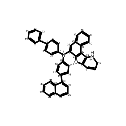 C1=Cc2oc3c(N(c4ccc(-c5ccccc5)cc4)c4ccc(-c5cccc6ccccc56)cc4)cc4ccccc4c3c2NC1